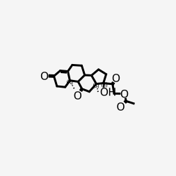 CC(=O)OCC(=O)[C@@]1(O)CCC2C3CCC4=CC(=O)CC[C@]4(C)C3C(=O)C[C@@]21C